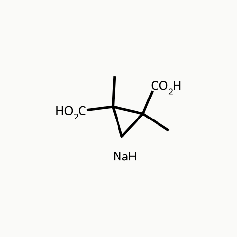 CC1(C(=O)O)CC1(C)C(=O)O.[NaH]